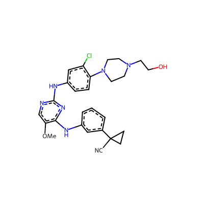 COc1cnc(Nc2ccc(N3CCN(CCO)CC3)c(Cl)c2)nc1Nc1cccc(C2(C#N)CC2)c1